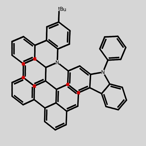 CC(C)(C)c1ccc(N(c2ccc3c4ccccc4n(-c4ccccc4)c3c2)C2CC=CC=C2c2cccc3cccc(-c4ccccc4)c23)c(-c2ccccc2)c1